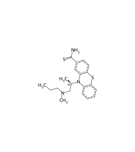 CCCN(C)C[C@@H](C)N1c2ccccc2Sc2ccc(C(N)=S)cc21